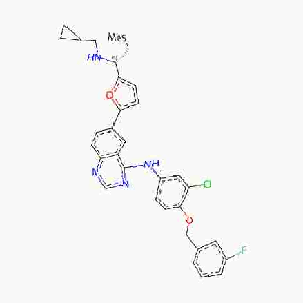 CSC[C@@H](NCC1CC1)c1ccc(-c2ccc3ncnc(Nc4ccc(OCc5cccc(F)c5)c(Cl)c4)c3c2)o1